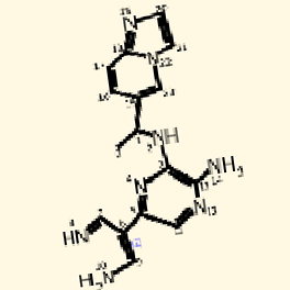 CC(Nc1nc(/C(C=N)=C/N)cnc1N)c1ccc2nccn2c1